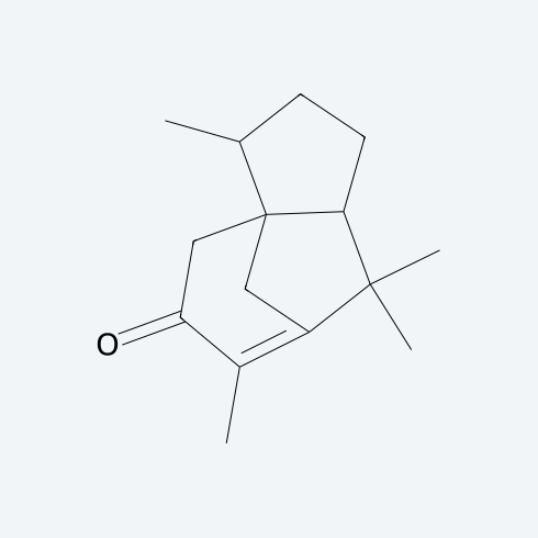 CC1=C2CC3(CC1=O)C(C)CCC3C2(C)C